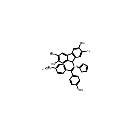 CCCCc1ccc([C](c2ccc(CCCC)cc2)=[Zr+2]([C]2=CC=CC2)[CH]2c3cc(C(C)(C)C)c(C(C)(C)C)cc3-c3cc(C(C)(C)C)c(C(C)(C)C)cc32)cc1.[Cl-].[Cl-]